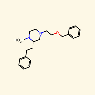 O=C(O)N1CCN(CCOCc2ccccc2)C[C@@H]1CCc1ccccc1